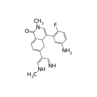 CN/C=C(\C=N)C1=CC=C2C(=O)N(C)C=C(c3cc(N)ccc3F)C2C1